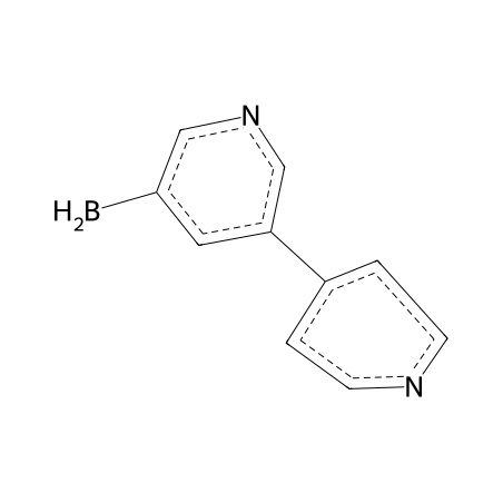 Bc1cncc(-c2ccncc2)c1